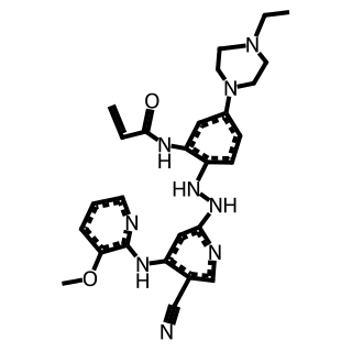 C=CC(=O)Nc1cc(N2CCN(CC)CC2)ccc1NNc1cc(Nc2ncccc2OC)c(C#N)cn1